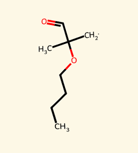 [CH2]C(C)(C=O)OCCCC